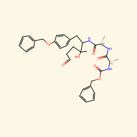 C[C@H](NC(=O)OCc1ccccc1)C(=O)N[C@@H](C)C(=O)NC(Cc1ccc(OCc2ccccc2)cc1)C(C)(O)[CH]CC=O